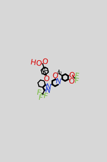 C[C@H](Oc1cc(-n2nc(C(F)(F)F)c3c2C(OC24CCC(C(=O)O)(CC2)CC4)CCC3)ccn1)c1ccc2c(c1)OC(F)(F)O2